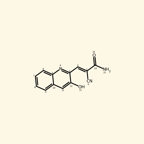 N#CC(=Cc1nc2ccccc2cc1O)C(N)=O